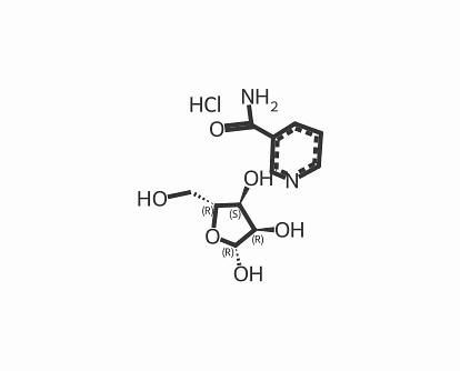 Cl.NC(=O)c1cccnc1.OC[C@H]1O[C@@H](O)[C@H](O)[C@@H]1O